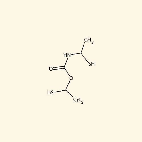 CC(S)NC(=O)OC(C)S